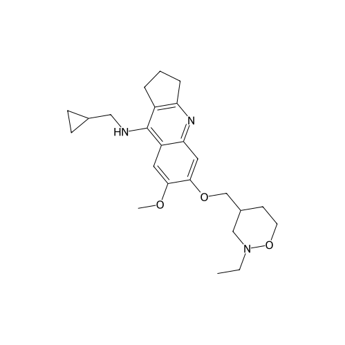 CCN1CC(COc2cc3nc4c(c(NCC5CC5)c3cc2OC)CCC4)CCO1